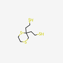 SCCC1(CCS)CSCCS1